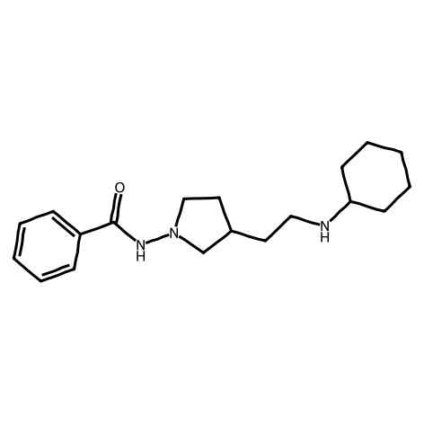 O=C(NN1CCC(CCNC2CCCCC2)C1)c1ccccc1